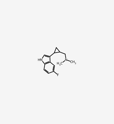 CN(C)CC1CC1c1c[nH]c2ccc(F)cc12